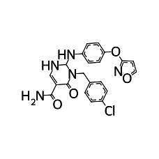 NC(=O)C1=CNC(Nc2ccc(Oc3ccon3)cc2)N(Cc2ccc(Cl)cc2)C1=O